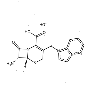 N[C@@H]1C(=O)N2C(C(=O)O)=C(Cn3cc[n+]4ncccc34)CS[C@H]12.[OH-]